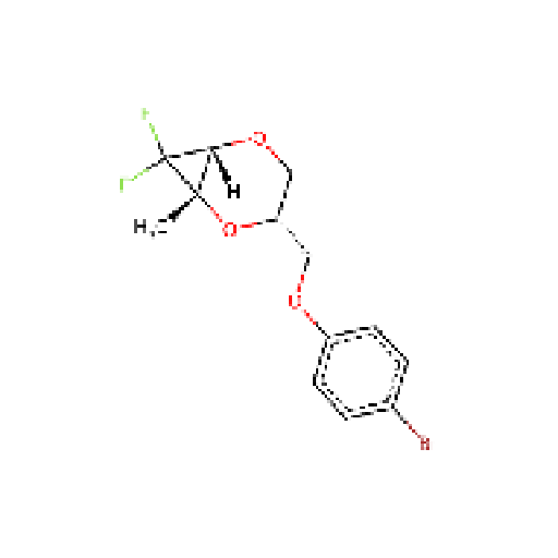 C[C@]12O[C@@H](COc3ccc(Br)cc3)CO[C@H]1C2(F)F